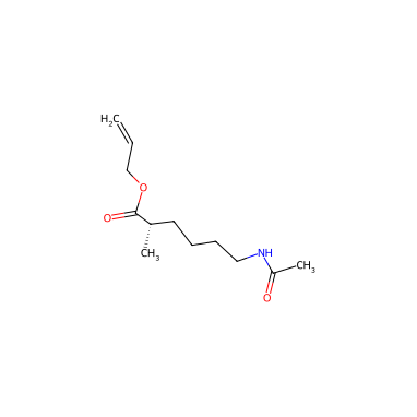 C=CCOC(=O)[C@@H](C)CCCCNC(C)=O